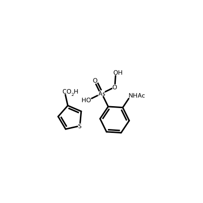 CC(=O)Nc1ccccc1[As](=O)(O)OO.O=C(O)c1ccsc1